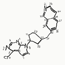 Clc1ncnc2c1ccn2C1CCC(Cc2ccc3ccncc3c2)C1